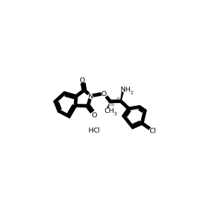 C[C@H](ON1C(=O)c2ccccc2C1=O)[C@@H](N)c1ccc(Cl)cc1.Cl